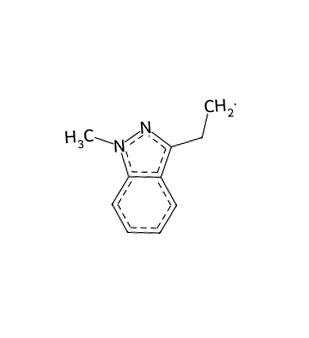 [CH2]Cc1nn(C)c2ccccc12